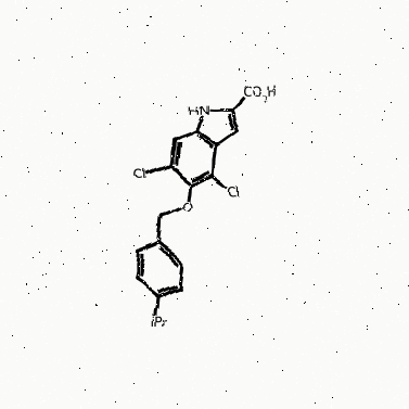 CC(C)c1ccc(COc2c(Cl)cc3[nH]c(C(=O)O)cc3c2Cl)cc1